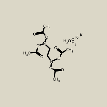 CC(=O)ON(CCN(OC(C)=O)OC(C)=O)OC(C)=O.O.O.[K].[K]